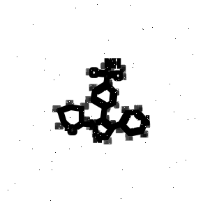 NS(=O)(=O)c1ccc(-c2c(-c3ccncc3)cnn2C2CCCCO2)cc1